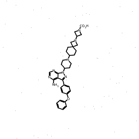 Nc1ncnc2c1c(-c1ccc(Oc3ccccc3)cc1)nn2C1CCN(C2CCC3(CC2)CN(C2CN(C(=O)O)C2)C3)CC1